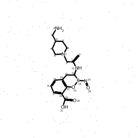 C=C(CN1CCC(CN)CC1)NC1Cc2cccc(C(=O)O)c2OB1N=O